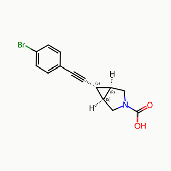 O=C(O)N1C[C@@H]2[C@@H](C#Cc3ccc(Br)cc3)[C@@H]2C1